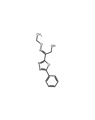 CCON=C(CO)c1nnc(-c2ccccc2)o1